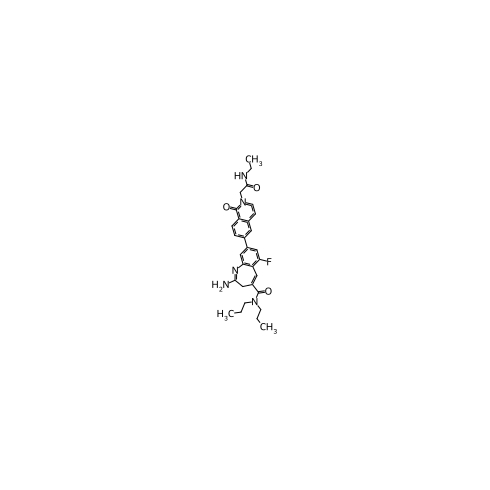 CCCN(CCC)C(=O)C1=Cc2c(F)cc(-c3ccc4c(=O)n(CC(=O)NCC)ccc4c3)cc2N=C(N)C1